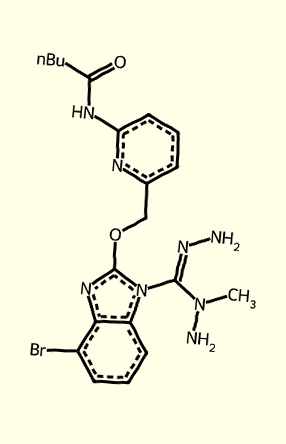 CCCCC(=O)Nc1cccc(COc2nc3c(Br)cccc3n2/C(=N/N)N(C)N)n1